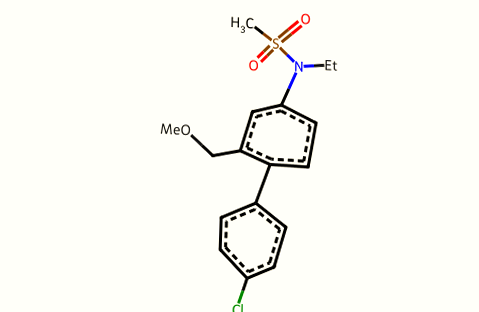 CCN(c1ccc(-c2ccc(Cl)cc2)c(COC)c1)S(C)(=O)=O